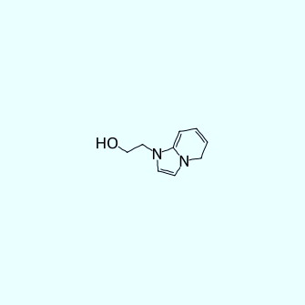 OCCN1C=CN2CC=CC=C21